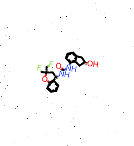 O=C(Nc1cccc2c1C[C@H](O)C2)N[C@@H]1CC(CF)(CF)Oc2ccccc21